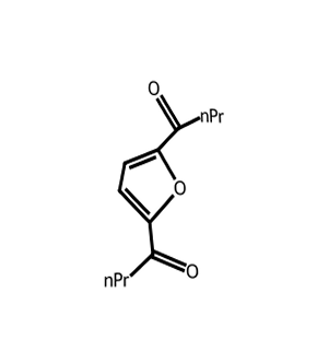 CCCC(=O)c1ccc(C(=O)CCC)o1